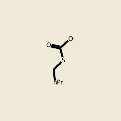 CCCCSC([O])=O